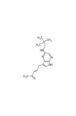 CC(=O)/C=C/Cc1c[nH]c2ncc(NCC(C)(C)C)nc12